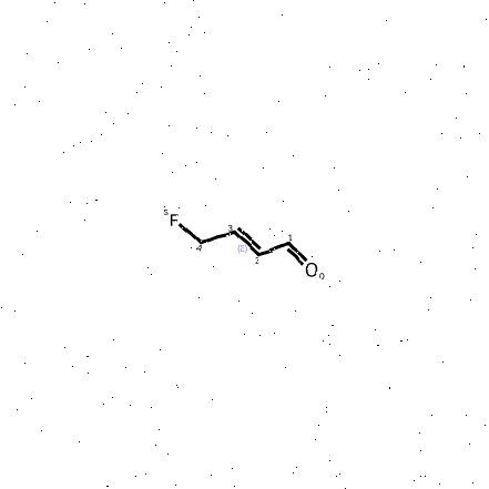 O=C/C=C/CF